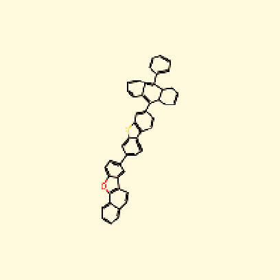 C1=CCC2C(c3ccc4c(c3)sc3cc(-c5ccc6oc7c8ccccc8ccc7c6c5)ccc34)=c3ccccc3=C(c3ccccc3)C2C1